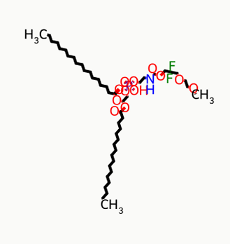 CCCCCCCCCCCCCCCCCC(=O)OC(COP(=O)(O)OCCNC(=O)OCC(F)(F)COCCOC)OC(=O)CCCCCCCCCCCCCCCCC